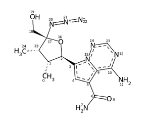 C[C@H]1[C@H](c2cc(C(N)=O)c3c(N)ncnn23)O[C@@](CO)(N=[N+]=[N-])[C@H]1C